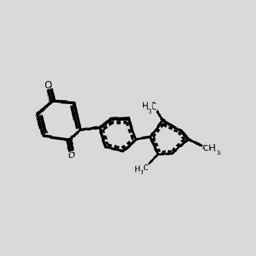 Cc1cc(C)c(-c2ccc(C3=CC(=O)C=CC3=O)cc2)c(C)c1